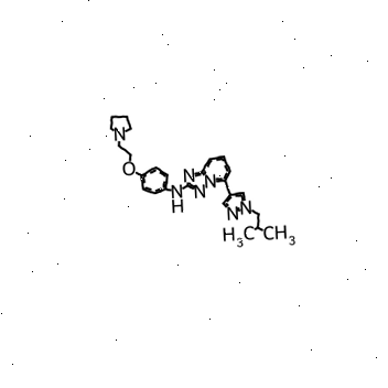 CC(C)Cn1cc(-c2cccc3nc(Nc4ccc(OCCN5CCCC5)cc4)nn23)cn1